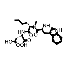 CCCC[C@@H](C(=O)N[C@@H](CC(=O)O)C(=O)O)N(C)C(=O)[C@@H](N)Cc1c[nH]c2ccccc12